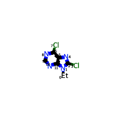 CCn1c(Cl)nc2c(Cl)ncnc21